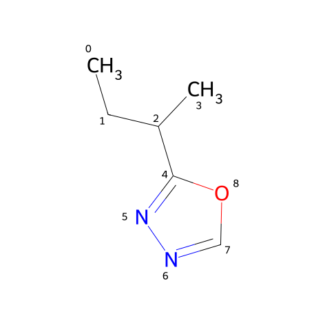 CCC(C)c1nnco1